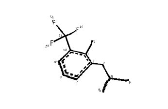 Cc1c(CC(C)C)cccc1C(F)(F)F